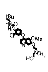 COc1cc2c(Oc3ccc(NC(=O)NCCC(C)(C)C)c(Cl)c3)ccnc2cc1OCCN(C)CCO